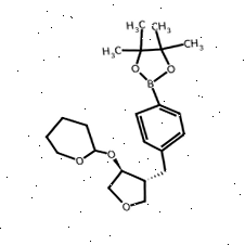 CC1(C)OB(c2ccc(C[C@@H]3COC[C@H]3OC3CCCCO3)cc2)OC1(C)C